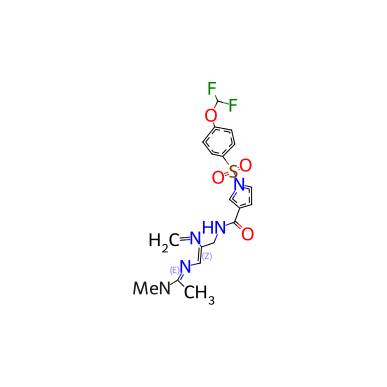 C=N/C(=C\N=C(/C)NC)CNC(=O)c1ccn(S(=O)(=O)c2ccc(OC(F)F)cc2)c1